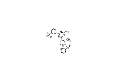 C[C@@H]1CN(c2ncccc2C(F)(F)F)CCN1c1nc(CCl)nc(-c2cccc(C(F)(F)F)c2)n1